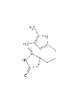 Cc1oc2c(c1C)C1(CCC2)CC(=O)NC1=O